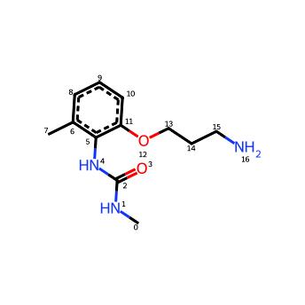 CNC(=O)Nc1c(C)cccc1OCCCN